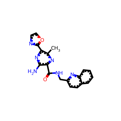 Cc1nc(C(=O)NCc2ccc3ccccc3n2)c(N)nc1-c1ncco1